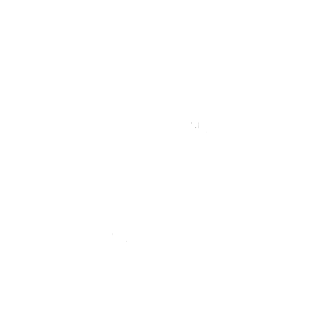 C=CCSCc1ccccc1N